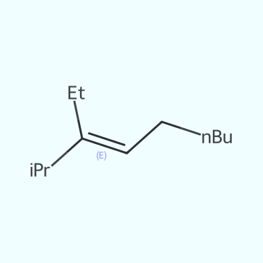 CCCCC/C=C(\CC)C(C)C